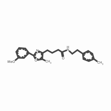 COc1cccc(-c2nc(CCCC(=O)NCCc3ccc(C)cc3)c(C)o2)c1